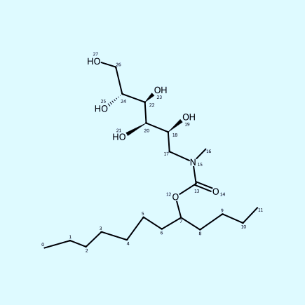 CCCCCCCC(CCCC)OC(=O)N(C)C[C@H](O)[C@@H](O)[C@H](O)[C@H](O)CO